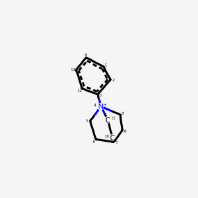 c1ccc([N+]23CCC(CC2)CC3)cc1